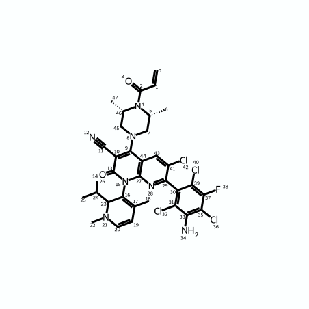 C=CC(=O)N1[C@H](C)CN(c2c(C#N)c(=O)n(C3=C(C)C=CN(C)C3C(C)C)c3nc(-c4c(Cl)c(N)c(Cl)c(F)c4Cl)c(Cl)cc23)C[C@@H]1C